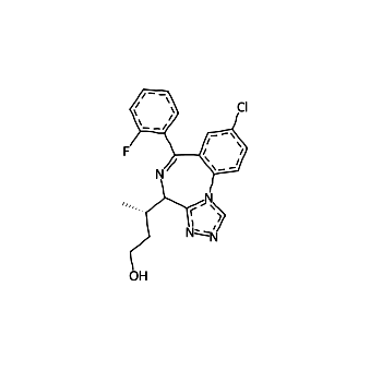 C[C@@H](CCO)C1N=C(c2ccccc2F)c2cc(Cl)ccc2-n2cnnc21